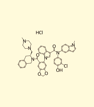 CN1CCN(C[C@@H]2Cc3ccccc3CN2C(=O)c2cc3c(cc2-n2cc(C(=O)N(c4ccc(O)c(Cl)c4)c4ccc5c(ccn5C)c4)c4ccccc42)OCO3)CC1.Cl